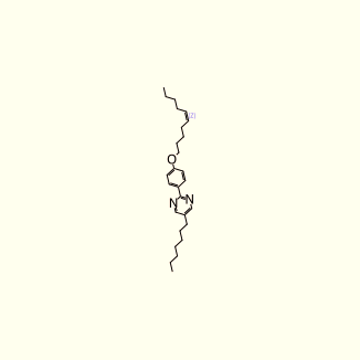 CCCC/C=C\CCCCOc1ccc(-c2ncc(CCCCCCC)cn2)cc1